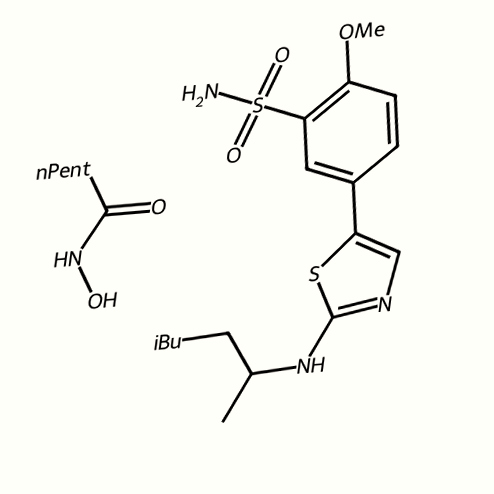 CCC(C)CC(C)Nc1ncc(-c2ccc(OC)c(S(N)(=O)=O)c2)s1.CCCCCC(=O)NO